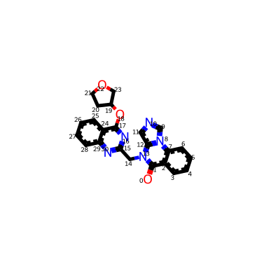 O=c1c2ccccc2n2cncc2n1Cc1nc(OC2CCOC2)c2ccccc2n1